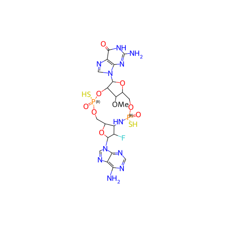 COC1C2CO[P@@](=O)(S)NC3C(CO[P@@](=O)(S)OC1C(n1cnc4c(=O)[nH]c(N)nc41)O2)OC(n1cnc2c(N)ncnc21)C3F